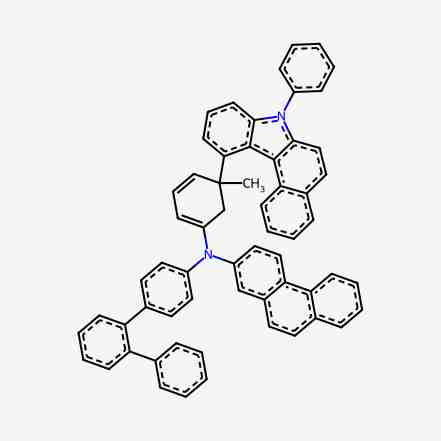 CC1(c2cccc3c2c2c4ccccc4ccc2n3-c2ccccc2)C=CC=C(N(c2ccc(-c3ccccc3-c3ccccc3)cc2)c2ccc3c(ccc4ccccc43)c2)C1